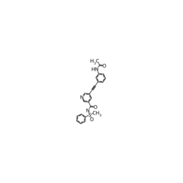 CC(=O)Nc1cccc(C#Cc2cncc(C(=O)N=S(C)(=O)c3ccccc3)c2)c1